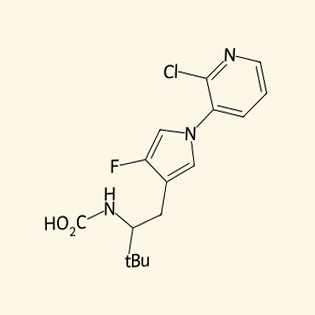 CC(C)(C)C(Cc1cn(-c2cccnc2Cl)cc1F)NC(=O)O